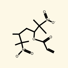 C=CC(=O)OC(CC(C)C(C)(C)[N+](=O)[O-])C(C)(C)[N+](=O)[O-]